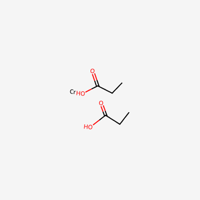 CCC(=O)O.CCC(=O)O.[Cr]